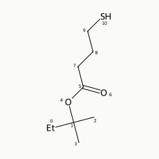 CCC(C)(C)OC(=O)CCCS